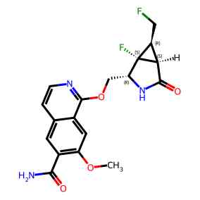 COc1cc2c(OC[C@H]3NC(=O)[C@@H]4[C@H](CF)[C@@]43F)nccc2cc1C(N)=O